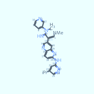 CN/C=C(\C(=N)N(C)c1cccnc1)c1cnc2ccc(Nc3cc(C(C)C)cnn3)nc2c1